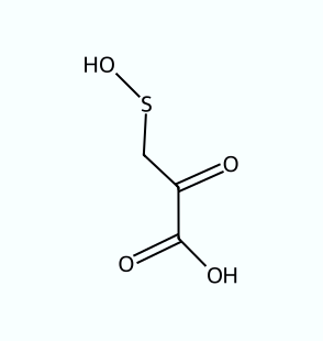 O=C(O)C(=O)CSO